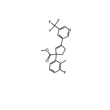 COC(=O)C1(c2cccc(F)c2C)C=C(c2cncc(C(F)(F)F)c2)CC1